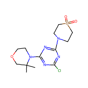 CC1(C)COCCN1c1nc(Cl)nc(N2CCS(=O)(=O)CC2)n1